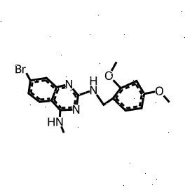 CNc1nc(NCc2ccc(OC)cc2OC)nc2cc(Br)ccc12